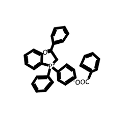 O=C(C[P+](c1ccccc1)(c1ccccc1)c1ccccc1)c1ccccc1.O=C([O-])c1ccccc1